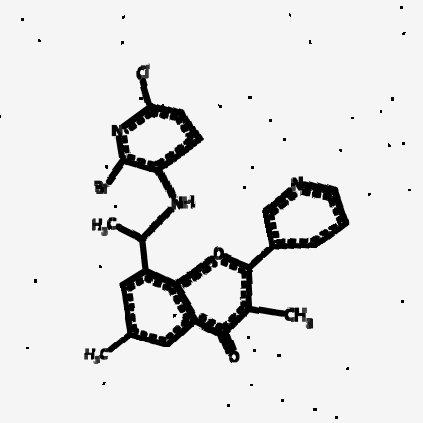 Cc1cc(C(C)Nc2ccc(Cl)nc2Br)c2oc(-c3cccnc3)c(C)c(=O)c2c1